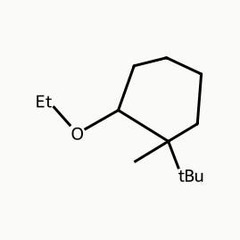 CCOC1CCCCC1(C)C(C)(C)C